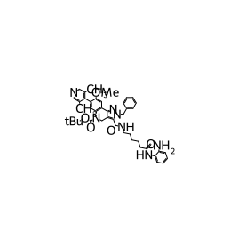 COc1cc2c(cc1-c1c(C)cncc1C)N(C(=O)OC(C)(C)C)Cc1c-2nn(Cc2ccccc2)c1C(=O)NCCCCCC(=O)Nc1ccccc1N